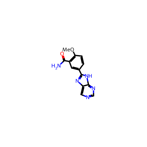 COc1ccc(-c2nc3cncnc3[nH]2)cc1C(N)=O